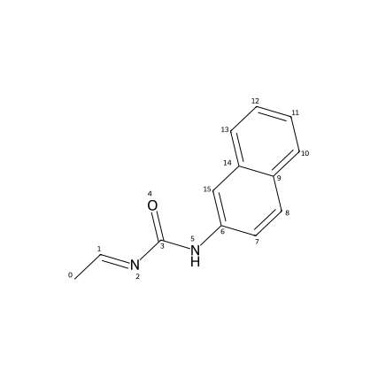 CC=NC(=O)Nc1ccc2ccccc2c1